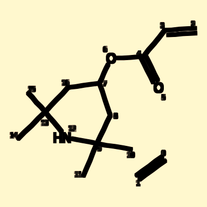 C=C.C=CC(=O)OC1CC(C)(C)NC(C)(C)C1